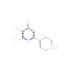 CCc1cc(C2CCNCC2)nc(CC)c1CC